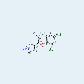 Fc1cc(Cl)cc(Cl)c1OC(C1CC1)[C@H]1CCNC1